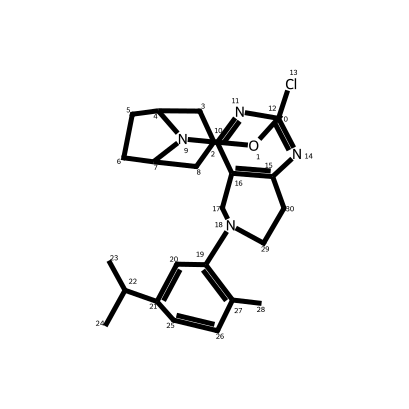 COC1CC2CCC(C1)N2c1nc(Cl)nc2c1CN(c1cc(C(C)C)ccc1C)CC2